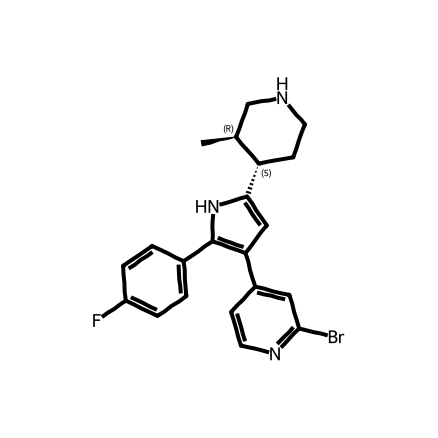 C[C@H]1CNCC[C@@H]1c1cc(-c2ccnc(Br)c2)c(-c2ccc(F)cc2)[nH]1